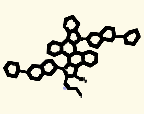 Nc1c(/C=C\CI)n(-c2ccc3cc(-c4ccccc4)ccc3c2)c2c1c1ccccc1c1c2c2ccccc2c2c3ncccc3n(-c3ccc4cc(-c5ccccc5)ccc4c3)c21